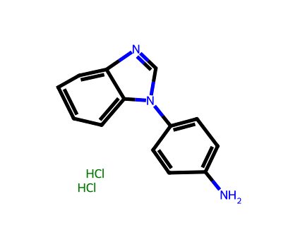 Cl.Cl.Nc1ccc(-n2cnc3ccccc32)cc1